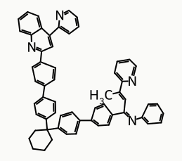 C/C(=C\C(=N/c1ccccc1)c1ccc(-c2ccc(C3(c4ccc(-c5ccc(-c6cc(-c7ccccn7)c7ccccc7n6)cc5)cc4)CCCCC3)cc2)cc1)c1ccccn1